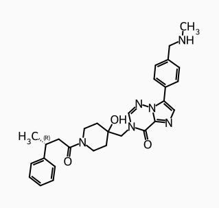 CNCc1ccc(-c2cnc3c(=O)n(CC4(O)CCN(C(=O)C[C@@H](C)c5ccccc5)CC4)cnn23)cc1